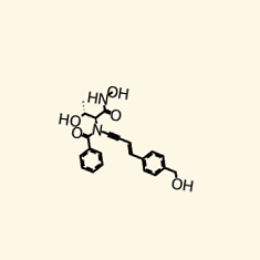 C[C@@H](O)[C@@H](C(=O)NO)N(C#C/C=C/c1ccc(CO)cc1)C(=O)c1ccccc1